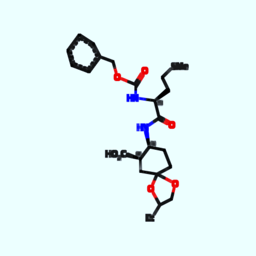 CCC1COC2(CC[C@H](NC(=O)[C@H](CCSC)NC(=O)OCc3ccccc3)[C@H](C(=O)O)C2)O1